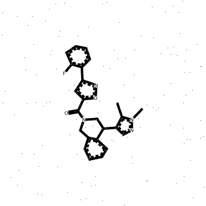 Cc1c(C2CN(C(=O)c3cc(-c4ccccc4F)no3)Cc3ccccc32)cnn1C